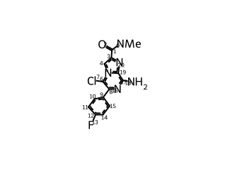 CNC(=O)c1cn2c(Cl)c(-c3ccc(F)cc3)nc(N)c2n1